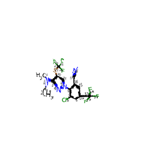 CN(C)c1nn(-c2c(Cl)cc(C(F)(F)F)cc2C#N)cc1SC(F)(F)F